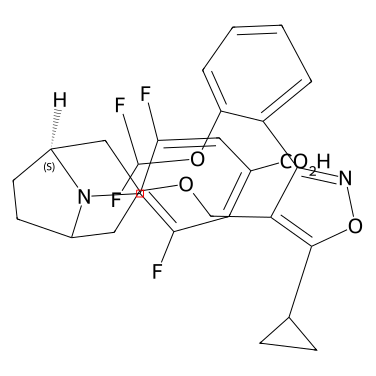 O=C(O)c1cc(F)c(N2C3CC[C@H]2CC(OCc2c(-c4ccccc4OC(F)F)noc2C2CC2)C3)c(F)c1